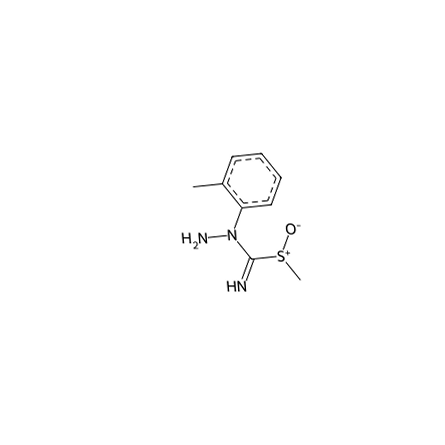 Cc1ccccc1N(N)C(=N)[S+](C)[O-]